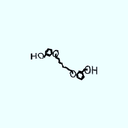 OCc1cccc(OCCCCCCCCOc2cccc(CO)c2)c1